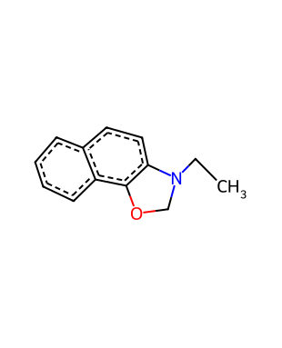 CCN1COc2c1ccc1ccccc21